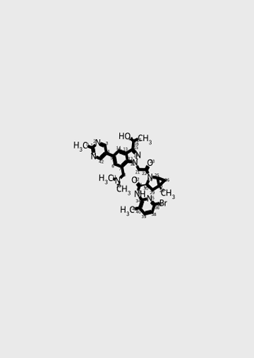 Cc1ncc(-c2cc(CN(C)C)c3c(c2)c(C(C)O)nn3CC(=O)N2C3C[C@]3(C)C[C@H]2C(=O)Nc2nc(Br)ccc2C)cn1